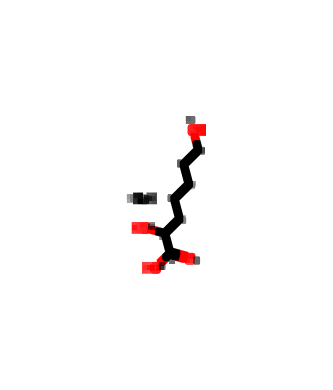 O=C(O)C(O)CCCCCO.[NaH]